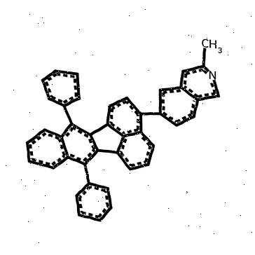 Cc1cc2cc(-c3ccc4c5c(cccc35)-c3c-4c(-c4ccccc4)c4ccccc4c3-c3ccccc3)ccc2cn1